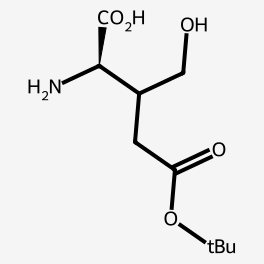 CC(C)(C)OC(=O)CC(CO)[C@@H](N)C(=O)O